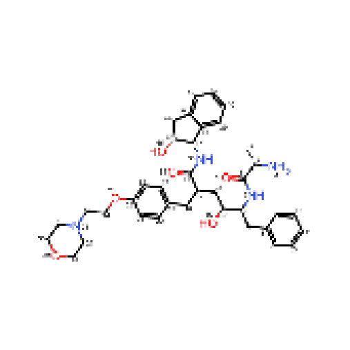 C[C@H](N)C(=O)N[C@@H](Cc1ccccc1)[C@@H](O)C[C@@H](Cc1ccc(OCCN2CCOCC2)cc1)C(=O)N[C@H]1c2ccccc2C[C@H]1O